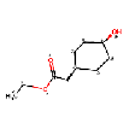 CCOC(=O)C[C@H]1CC[C@@H](O)CC1